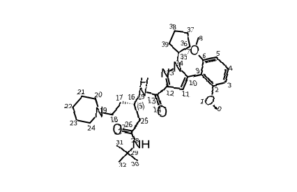 COc1cccc(OC)c1-c1cc(C(=O)N[C@@H](CCN2CCCCC2)CC(=O)NC(C)(C)C)nn1C1CCCC1